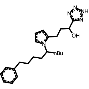 CCCCC(CCCCc1ccccc1)n1cccc1CCC(O)c1nn[nH]n1